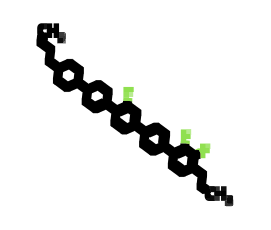 C=CCCC1CCC(C2CC=C(c3ccc(-c4ccc(-c5ccc(CCC)c(F)c5F)cc4)cc3F)CC2)CC1